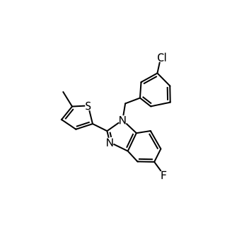 Cc1ccc(-c2nc3cc(F)ccc3n2Cc2cccc(Cl)c2)s1